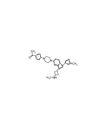 CN[C@H]1C[C@@H](n2cc(-c3cnn(C)c3)c3ccc(N4CCN(c5ccc(C(C)=O)cc5)CC4)nc32)C1